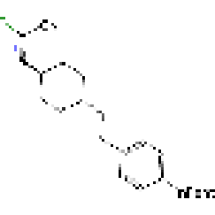 CCCCCc1ccc(CC[C@H]2CC[C@H](/C=C(/F)C#N)CC2)cc1